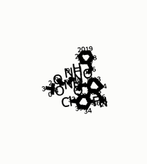 CC(C)(C)OC(=O)NC(=N)NC(=O)c1c(OCc2ccccc2)ccc(C#N)c1-c1cc(Cl)ccc1F